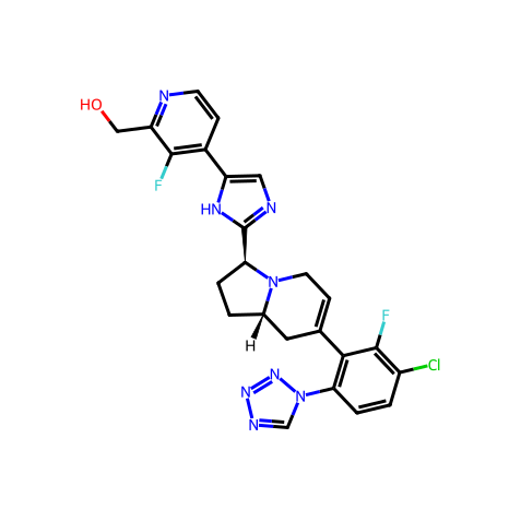 OCc1nccc(-c2cnc([C@@H]3CC[C@H]4CC(c5c(-n6cnnn6)ccc(Cl)c5F)=CCN43)[nH]2)c1F